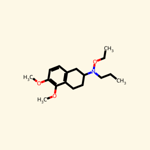 CCCN(OCC)C1CCc2c(ccc(OC)c2OC)C1